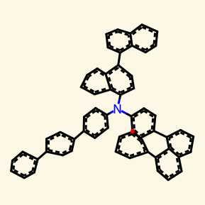 c1ccc(-c2ccc(-c3ccc(N(c4ccc(-c5cccc6cccc(-c7ccccc7)c56)cc4)c4ccc(-c5cccc6ccccc56)c5ccccc45)cc3)cc2)cc1